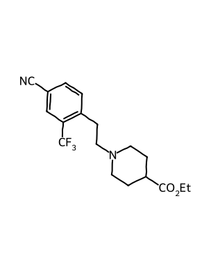 CCOC(=O)C1CCN(CCc2ccc(C#N)cc2C(F)(F)F)CC1